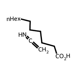 C=C=N.CCCCCCCCCCCC(=O)O